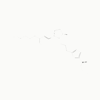 CCCCCC(O)/C=C/[C@@H]1[C@@H](CCCc2ccc(C(=O)OC)s2)[C@H](Cl)C[C@H]1O